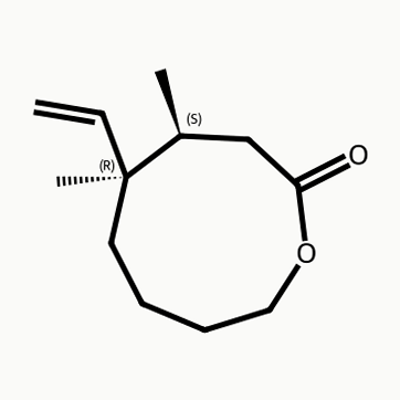 C=C[C@]1(C)CCCCOC(=O)C[C@@H]1C